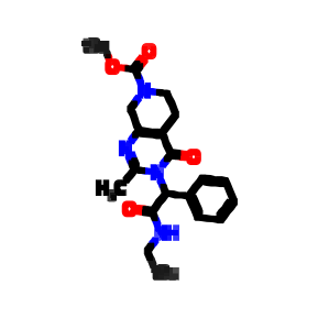 Cc1nc2c(c(=O)n1C(C(=O)NCC(C)(C)C)c1ccccc1)CCN(C(=O)OC(C)(C)C)C2